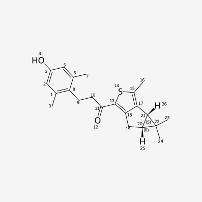 Cc1cc(O)cc(C)c1CCC(=O)c1sc(C)c2c1C[C@@H]1[C@H]2C1(C)C